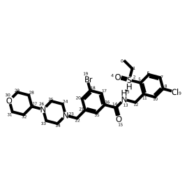 CC[SH](C)(=O)c1ccc(Cl)cc1CNC(=O)c1cc(Br)cc(CN2CCN(C3CCOCC3)CC2)c1